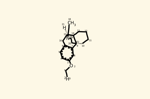 [2H]COc1ccc2c(c1)[C@]13CCCCC1[C@H](C2)N(C)CC3